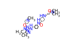 CC(C)c1cnn2c(NCc3cccc(NC(=O)C4CCC(NC/C=C/C(=O)N(C)C)CC4)c3)nc(OC3CCN(C)CC3)nc12